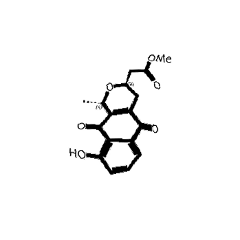 COC(=O)C[C@H]1CC2=C(C(=O)c3c(O)cccc3C2=O)[C@H](C)O1